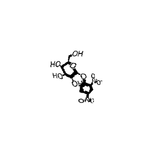 O=[N+]([O-])c1ccc(O[C@@H]2O[C@H](CO)[C@@H](O)[C@H](O)[C@H]2O)c([N+](=O)[O-])c1